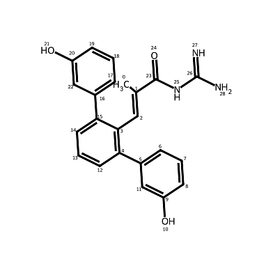 C/C(=C\c1c(-c2cccc(O)c2)cccc1-c1cccc(O)c1)C(=O)NC(=N)N